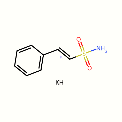 NS(=O)(=O)/C=C/c1ccccc1.[KH]